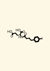 O=C(O)CC[C@H](NC(=O)CCCc1ccc(I)cc1)C(=O)O